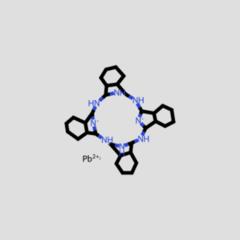 C1CCC2C3[N-]C(NC4NC(NC5[N-]C(NC6NC(N3)C3CCCCC63)C3CCCCC53)C3CCCCC43)C2C1.[Pb+2]